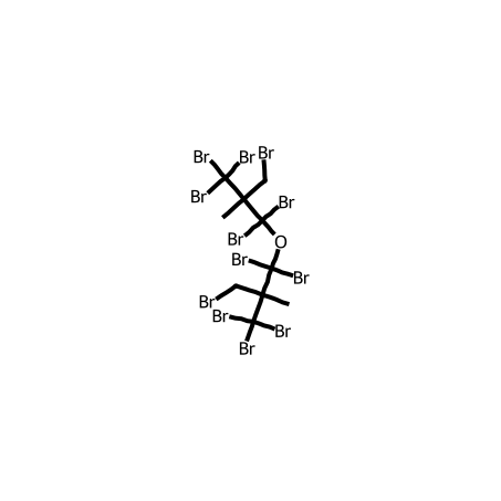 CC(CBr)(C(Br)(Br)Br)C(Br)(Br)OC(Br)(Br)C(C)(CBr)C(Br)(Br)Br